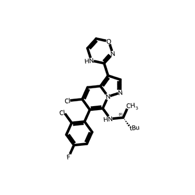 C[C@@H](Nc1c(-c2ccc(F)cc2Cl)c(Cl)cc2c(C3=NOC=CN3)cnn12)C(C)(C)C